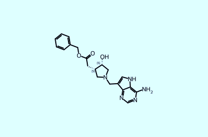 Nc1ncnc2c(CN3C[C@H](CC(=O)OCc4ccccc4)[C@H](O)C3)c[nH]c12